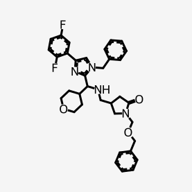 O=C1CC(CNC(c2nc(-c3cc(F)ccc3F)cn2Cc2ccccc2)C2CCOCC2)CN1COCc1ccccc1